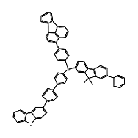 CC1(C)c2cc(-c3ccccc3)ccc2-c2ccc(N(c3ccc(-c4ccc(-c5ccc6oc7ccccc7c6c5)cc4)cc3)c3ccc(-c4ccc5c6c(cccc46)-c4ccccc4-5)cc3)cc21